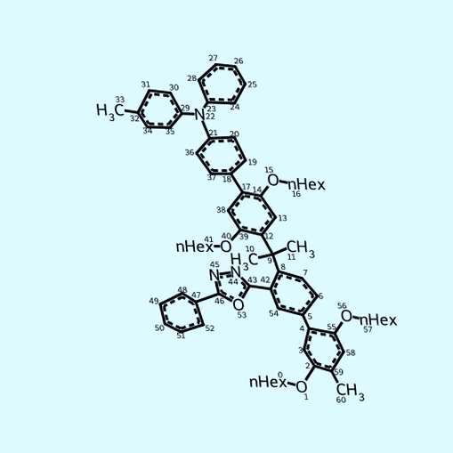 CCCCCCOc1cc(-c2ccc(C(C)(C)c3cc(OCCCCCC)c(-c4ccc(N(c5ccccc5)c5ccc(C)cc5)cc4)cc3OCCCCCC)c(-c3nnc(-c4ccccc4)o3)c2)c(OCCCCCC)cc1C